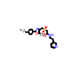 CCc1ccc(-c2nc(CS(=O)(=O)CC(=O)NCCc3cccnc3)c(C)o2)cc1